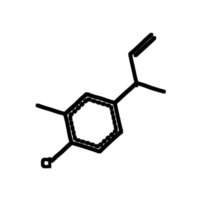 C=C[C](C)c1ccc(Cl)c(C)c1